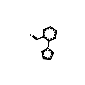 O=Cc1ccccc1-n1cccc1